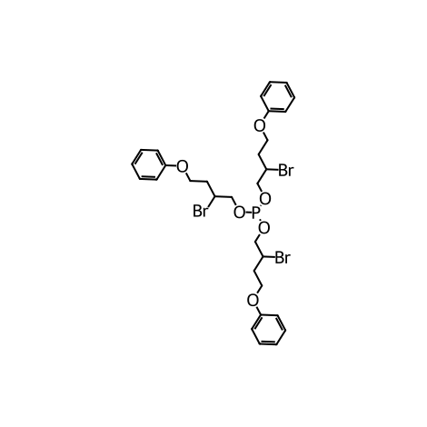 BrC(CCOc1ccccc1)COP(OCC(Br)CCOc1ccccc1)OCC(Br)CCOc1ccccc1